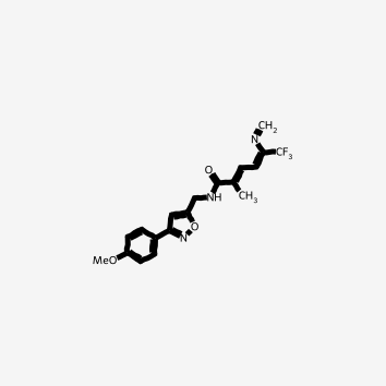 C=N/C(=C\C=C(/C)C(=O)NCc1cc(-c2ccc(OC)cc2)no1)C(F)(F)F